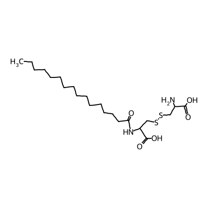 CCCCCCCCCCCCCCCC(=O)NC(CSSCC(N)C(=O)O)C(=O)O